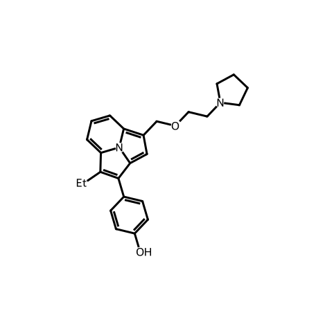 CCc1c(-c2ccc(O)cc2)c2cc(COCCN3CCCC3)c3cccc1n32